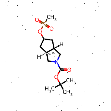 CC(C)(C)OC(=O)N1C[C@H]2CC(OS(C)(=O)=O)C[C@@H]2C1